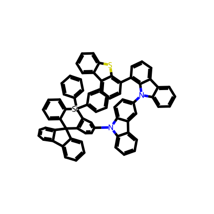 c1ccc([Si]2(c3ccccc3)c3ccccc3C3(c4ccccc4-c4ccccc43)c3ccc(-n4c5ccccc5c5cc(-n6c7ccccc7c7cccc(-c8cccc9c8sc8ccccc89)c76)ccc54)cc32)cc1